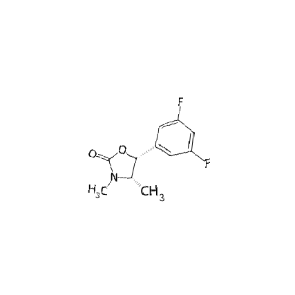 C[C@H]1[C@@H](c2cc(F)cc(F)c2)OC(=O)N1C